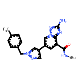 CC[C@H](C)NC(=O)c1cc(-c2cnn(Cc3ccc(C(F)(F)F)cc3)c2)cn2nc(N)nc12